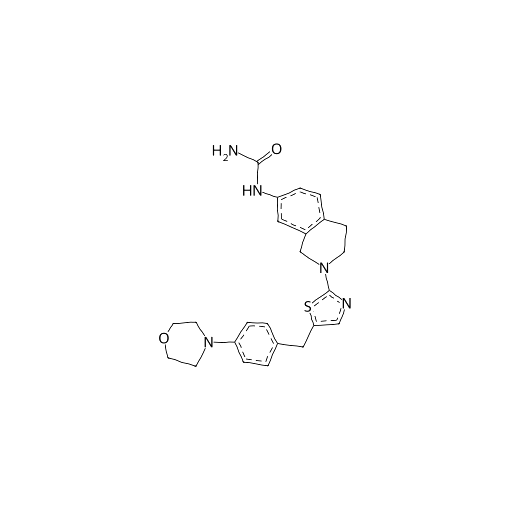 NC(=O)Nc1ccc2c(c1)CN(c1ncc(Cc3ccc(N4CCOCC4)cc3)s1)CC2